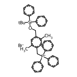 Cc1cc(C[P+](c2ccccc2)(c2ccccc2)c2ccccc2)c(C)cc1CO[Si](c1ccccc1)(c1ccccc1)C(C)(C)C.[Br-]